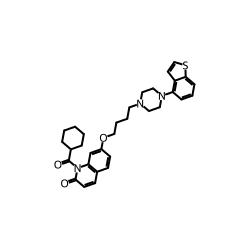 O=C(C1CCCCC1)n1c(=O)ccc2ccc(OCCCCN3CCN(c4cccc5sccc45)CC3)cc21